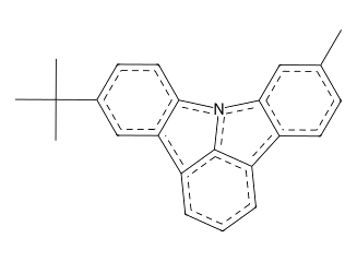 Cc1ccc2c3cccc4c5cc(C(C)(C)C)ccc5n(c2c1)c43